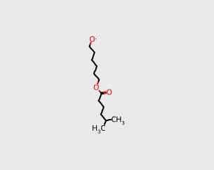 CC(C)CCCC(=O)OCCCCCC[O]